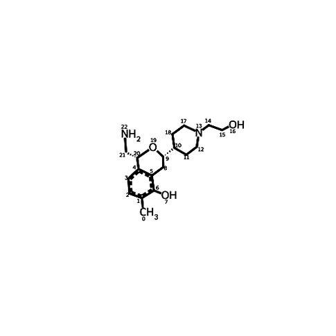 Cc1ccc2c(c1O)C[C@@H](C1CCN(CCO)CC1)O[C@H]2CN